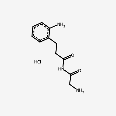 Cl.NCC(=O)NC(=O)CCc1ccccc1N